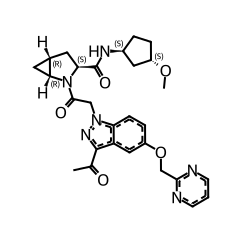 CO[C@H]1CC[C@H](NC(=O)[C@@H]2C[C@H]3C[C@H]3N2C(=O)Cn2nc(C(C)=O)c3cc(OCc4ncccn4)ccc32)C1